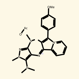 CC(=O)[O-].COc1ccc(C2=C(C)/C(=N\c3c(N(C)C)nn(C)c3N(C)C)c3cccc[n+]32)cc1